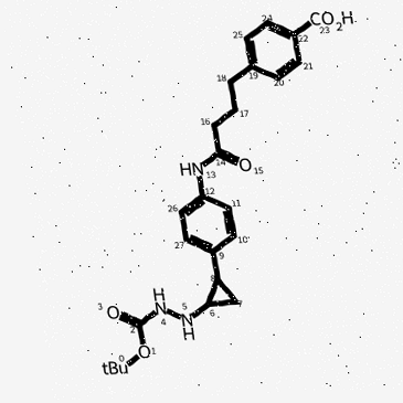 CC(C)(C)OC(=O)NNC1CC1c1ccc(NC(=O)CCCc2ccc(C(=O)O)cc2)cc1